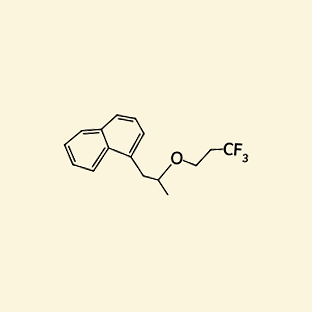 CC(Cc1cccc2ccccc12)OCCC(F)(F)F